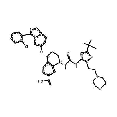 CC(C)(C)c1cc(NC(=O)N[C@H]2CC[C@@H](Oc3ccc4nnc(-c5ccccc5Cl)n4c3)c3ccccc32)n(CCN2CCOCC2)n1.O=CO